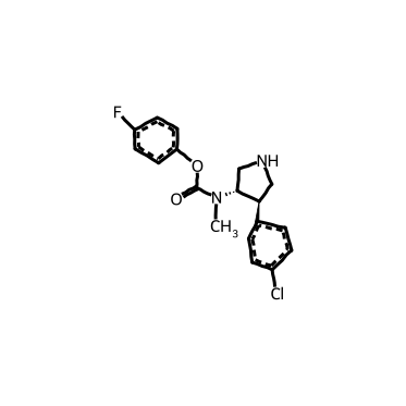 CN(C(=O)Oc1ccc(F)cc1)[C@@H]1CNC[C@H]1c1ccc(Cl)cc1